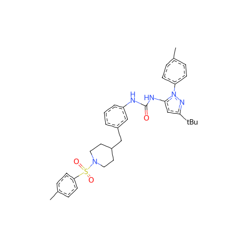 Cc1ccc(-n2nc(C(C)(C)C)cc2NC(=O)Nc2cccc(CC3CCN(S(=O)(=O)c4ccc(C)cc4)CC3)c2)cc1